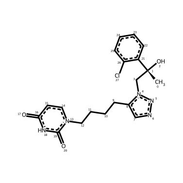 C[C@@](O)(Cn1nncc1CCCCn1ccc(=O)[nH]c1=O)c1ccccc1Cl